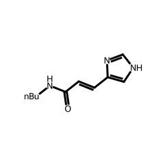 CCCCNC(=O)C=Cc1c[nH]cn1